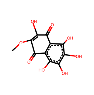 COC1=C(O)C(=O)c2c(O)c(O)c(O)c(O)c2C1=O